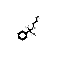 CCCNC(C)(C)c1ccccc1